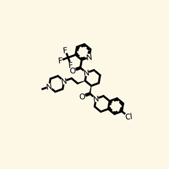 CN1CCN(CC[C@@H]2[C@H](C(=O)N3CCc4cc(Cl)ccc4C3)CCCN2C(=O)c2ncccc2C(F)(F)F)CC1